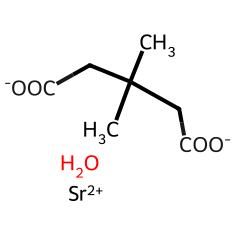 CC(C)(CC(=O)[O-])CC(=O)[O-].O.[Sr+2]